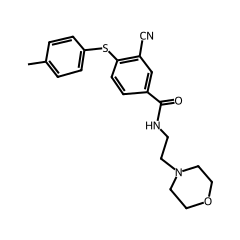 Cc1ccc(Sc2ccc(C(=O)NCCN3CCOCC3)cc2C#N)cc1